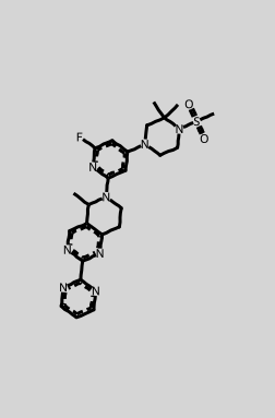 CC1c2cnc(-c3ncccn3)nc2CCN1c1cc(N2CCN(S(C)(=O)=O)C(C)(C)C2)cc(F)n1